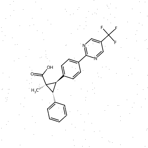 C[C@@]1(C(=O)O)[C@@H](c2ccccc2)[C@@H]1c1ccc(-c2ncc(C(F)(F)F)cn2)cc1